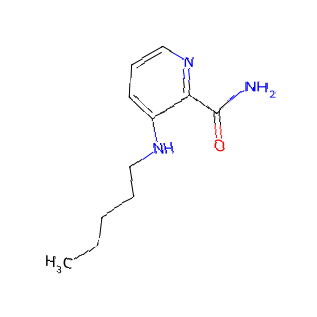 CCCCCNc1cccnc1C(N)=O